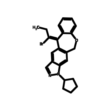 CC/C(Br)=C1/c2cc3cnn(C4CCCC4)c3cc2COc2ccccc21